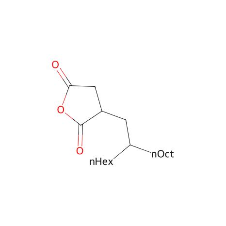 CCCCCCCCC(CCCCCC)CC1CC(=O)OC1=O